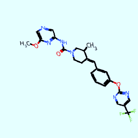 COc1cncc(NC(=O)N2CCC(=Cc3cccc(Oc4ncc(C(F)(F)F)cn4)c3)C(C)C2)n1